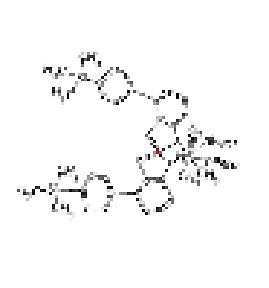 CCCC[CH2][Hf]([CH3])([CH3])(=[SiH2])([CH2]CCCC)([CH]1C=Cc2c(-c3ccc([Si](C)(C)C)cc3)cccc21)[CH]1C=Cc2c(-c3ccc([Si](C)(C)C)cc3)cccc21